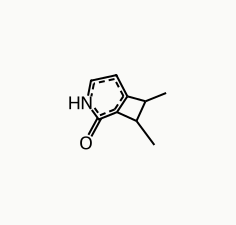 CC1c2cc[nH]c(=O)c2C1C